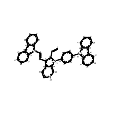 C=Cc1c(/C=C/n2c3ccccc3c3ccccc32)c2ccncc2n1-c1ccc(-n2c3ccccc3c3ccccc32)cc1